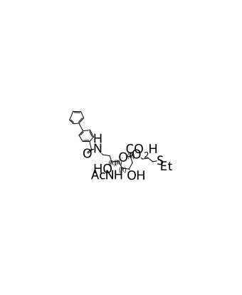 CCSCCCO[C@]1(C(=O)O)CC(O)[C@@H](NC(C)=O)[C@H]([C@H](O)CCNC(=O)c2ccc(-c3ccccc3)cc2)O1